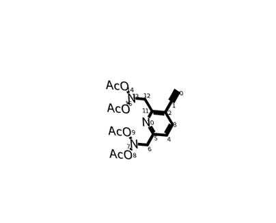 C#Cc1ccc(CN(OC(C)=O)OC(C)=O)nc1CN(OC(C)=O)OC(C)=O